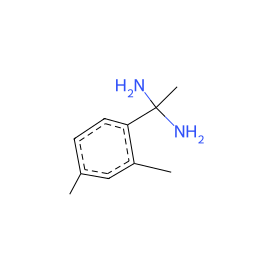 Cc1ccc(C(C)(N)N)c(C)c1